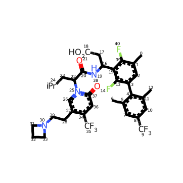 Cc1cc(-c2c(C)cc(C(F)(F)F)cc2C)c(F)c(C(CC(=O)O)NC(=O)C(CC(C)C)n2cc(CCN3CCC3)c(C(F)(F)F)cc2=O)c1F